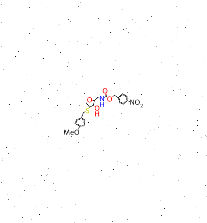 COc1ccc(CS[C@H]2CO[C@@H](CNC(=O)OCc3ccc([N+](=O)[O-])cc3)[C@@H]2O)cc1